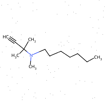 C#CC(C)(C)N(C)CCCCCCC